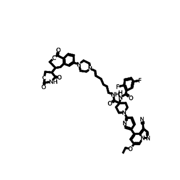 CCOc1cc(-c2ccc(N3CCC(NC(=O)c4cc(F)ccc4F)(C(=O)NCCCCCCN4CCN(c5ccc6c(c5)CC(C5CCC(=O)NC5=O)CCC6=O)CC4)CC3)nc2)c2c(C#N)cnn2c1